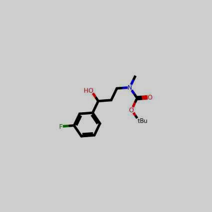 CN(CCC(O)c1cccc(F)c1)C(=O)OC(C)(C)C